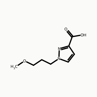 COCCCn1ccc(C(=O)O)n1